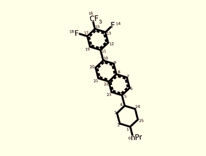 CCCC1CCC(c2ccc3cc(-c4cc(F)c(C(F)(F)F)c(F)c4)ccc3c2)CC1